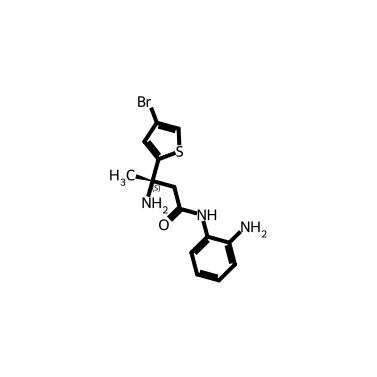 C[C@](N)(CC(=O)Nc1ccccc1N)c1cc(Br)cs1